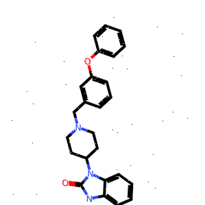 O=C1[N]c2ccccc2N1C1CCN(Cc2cccc(Oc3ccccc3)c2)CC1